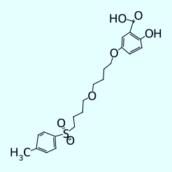 Cc1ccc(S(=O)(=O)CCCCOCCCCOc2ccc(O)c(C(=O)O)c2)cc1